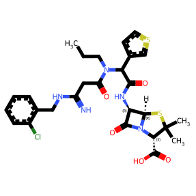 CCCN(C(=O)CC(=N)NCc1ccccc1Cl)C(C(=O)N[C@@H]1C(=O)N2[C@@H]1SC(C)(C)[C@@H]2C(=O)O)c1ccsc1